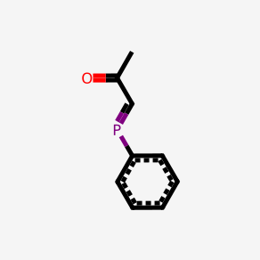 CC(=O)/C=P/c1ccccc1